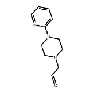 O=CCN1CCN(c2ccccn2)CC1